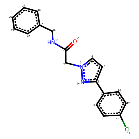 O=C(Cn1ccc(-c2ccc(Cl)cc2)n1)NCc1ccccc1